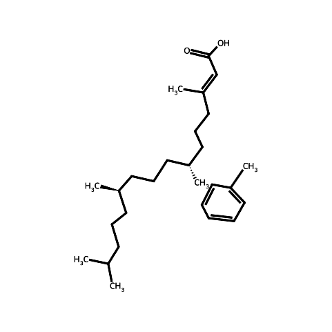 C/C(=C\C(=O)O)CCC[C@H](C)CCC[C@H](C)CCCC(C)C.Cc1ccccc1